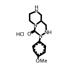 COc1ccc(N2NCC3CNCCN3C2=O)cc1.Cl